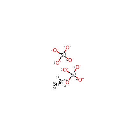 [O-][Si]([O-])([O-])[O-].[O-][Si]([O-])([O-])[O-].[Sn+4].[Zr+4]